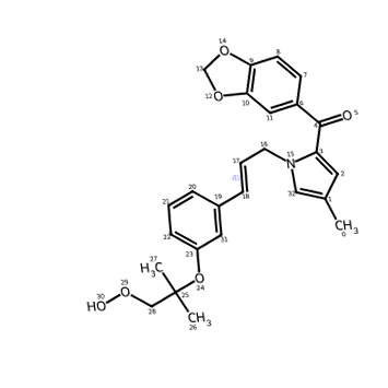 Cc1cc(C(=O)c2ccc3c(c2)OCO3)n(C/C=C/c2cccc(OC(C)(C)COO)c2)c1